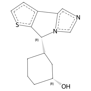 O[C@@H]1CCCC([C@@H]2c3sccc3-c3cncn32)C1